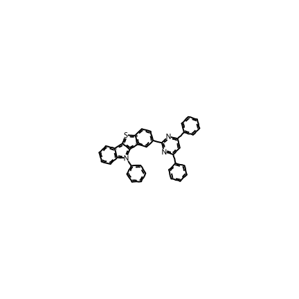 c1ccc(-c2cc(-c3ccccc3)nc(-c3ccc4sc5c6ccccc6n(-c6ccccc6)c5c4c3)n2)cc1